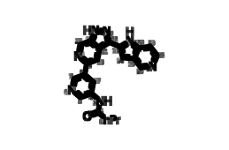 CCCC(=O)Nc1cncc(-c2cc3c(-c4cc5cnccc5[nH]4)n[nH]c3cn2)c1